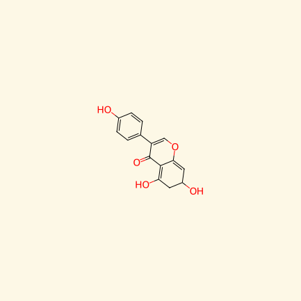 O=c1c(-c2ccc(O)cc2)coc2c1=C(O)CC(O)C=2